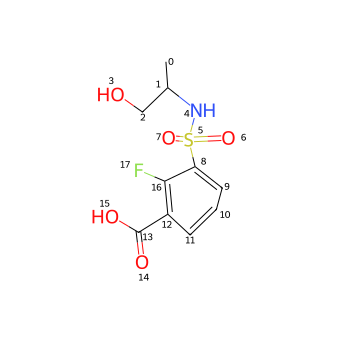 CC(CO)NS(=O)(=O)c1cccc(C(=O)O)c1F